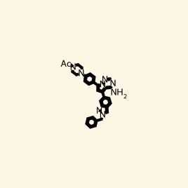 CC(=O)N1CCN(c2ccc(-c3cc(-c4ccc5cn(Cc6ccccc6)nc5c4)c4c(N)ncnn34)cc2)CC1